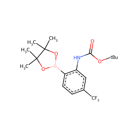 CC(C)(C)OC(=O)Nc1cc(C(F)(F)F)ccc1B1OC(C)(C)C(C)(C)O1